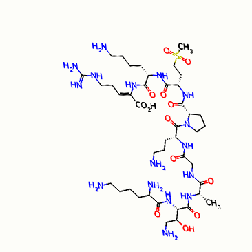 C[C@H](NC(=O)[C@@H](NC(=O)C(N)CCCCN)[C@@H](O)CN)C(=O)NCC(=O)N[C@H](CCCN)C(=O)N1CCC[C@H]1C(=O)N[C@@H](CCS(C)(=O)=O)C(=O)N[C@@H](CCCCN)C(=O)N/C(=C\CCNC(=N)N)C(=O)O